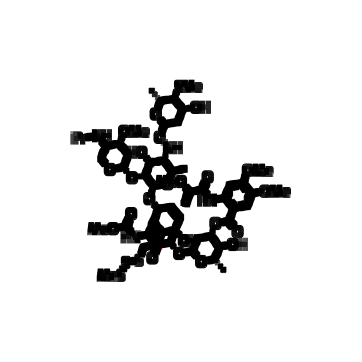 C=C(OC)C(=O)Nc1cc(OC)c(OC)cc1C(=O)O[C@H]1CC(O[C@@H]2C(=O)C(NC(=O)OC)=C3/C(=C\CSSSC)[C@]2(O)C=C[C@@H]3O[C@@H]2OC(C)[C@@H](NOC3C[C@H](O)[C@H](SC)[C@@H](C)O3)[C@H](O)[C@H]2O[C@H]2C[C@H](OC)C(NC(C)C)CO2)O[C@@H](C)C1O